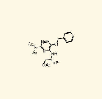 CCCC(COC(C)=O)Nc1nc(N(C(C)=O)C(C)=O)ncc1OCc1ccccc1